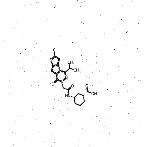 CC(C)c1nn(CC(=O)N[C@H]2CCC[C@@H](C(=O)O)C2)c(=O)c2cc3sc(Cl)cc3n12